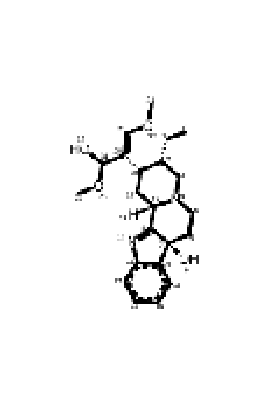 CC[C@@H]1CN2CC[C@@]3(O)C(=Nc4ccccc43)[C@@H]2C[C@@H]1/C(=C\OC)C(O)OC